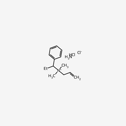 C=CC[N+](C)(C)C(CC)c1ccccc1.Cl.N.[Cl-]